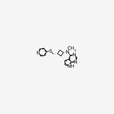 CN(c1ncnc2[nH]ccc12)[C@H]1C[C@@H](CSc2ccncc2)C1